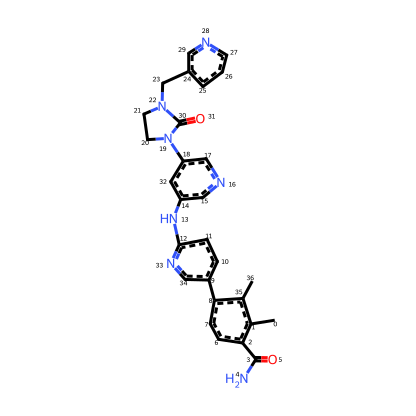 Cc1c(C(N)=O)ccc(-c2ccc(Nc3cncc(N4CCN(Cc5cccnc5)C4=O)c3)nc2)c1C